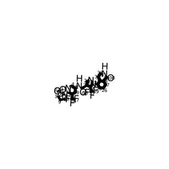 O=C(Nc1cnc(N2CCCS2(=O)=O)c(C(F)(F)F)c1)c1cnn(-c2cccc3c(=O)[nH]ccc23)c1C(F)(F)F